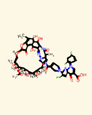 CO[C@H]1/C=C/O[C@@]2(C)Oc3c(C)c(O)c4c(O)c(c(/C=N/N5CCN(C(=O)C6CCN(c7nc8c(cc7F)c(=O)c(C(=O)O)cn8-c7ccc(F)cc7F)C6)CC5)c(O)c4c3C2=O)NC(=O)/C(C)=C\C=C\[C@H](C)[C@H](O)[C@@H](C)[C@@H](O)[C@@H](C)[C@H](OC(C)=O)[C@@H]1C